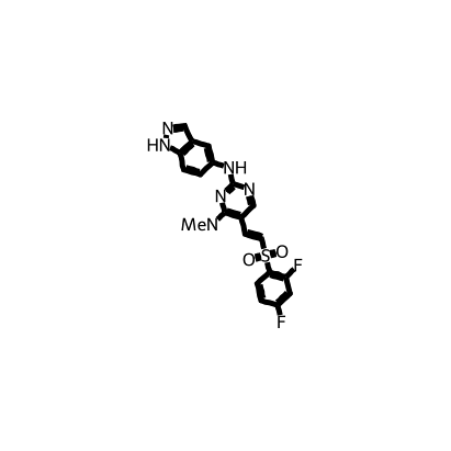 CNc1nc(Nc2ccc3[nH]ncc3c2)ncc1C=CS(=O)(=O)c1ccc(F)cc1F